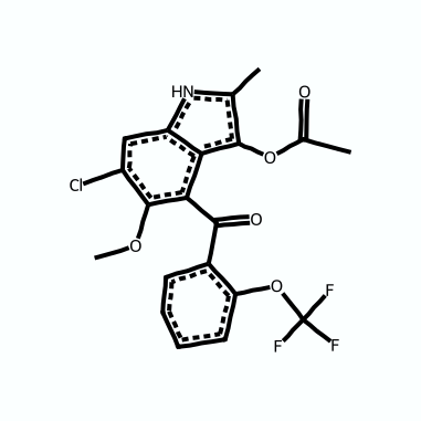 COc1c(Cl)cc2[nH]c(C)c(OC(C)=O)c2c1C(=O)c1ccccc1OC(F)(F)F